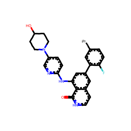 CC(C)c1ccc(F)c(-c2cc(Nc3ccc(N4CCC(O)CC4)cn3)c3c(=O)[nH]ccc3c2)c1